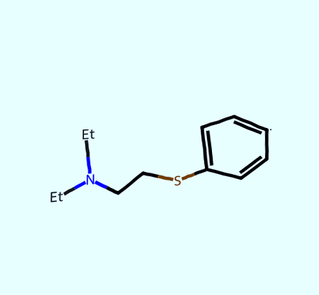 CCN(CC)CCSc1cc[c]cc1